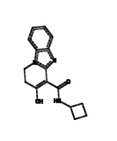 O=C(NC1CCC1)C1=C(O)CCn2c1nc1ccccc12